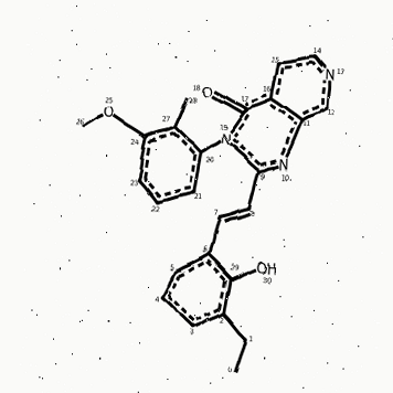 CCc1cccc(/C=C/c2nc3cnccc3c(=O)n2-c2cccc(OC)c2C)c1O